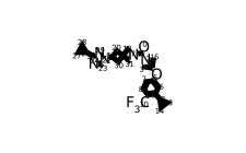 O=C(N1CC(Oc2ccc(C(F)(F)F)c(C3CC3)c2)C1)N1CC2(CC(n3cnc(C4CC4)n3)C2)C1